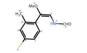 CO/C(=C/NC=O)c1ccc(F)cc1C